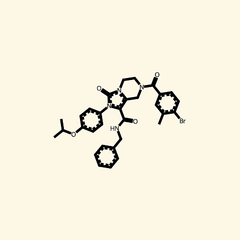 Cc1cc(C(=O)N2CCn3c(c(C(=O)NCc4ccccc4)n(-c4ccc(OC(C)C)cc4)c3=O)C2)ccc1Br